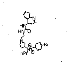 CCCN(C1CCN(CCNC(=O)Nc2cc(C)nc3ccccc23)C1)S(=O)(=O)c1ccc(Br)cc1